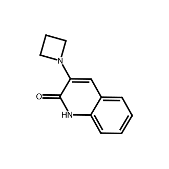 O=c1[nH]c2ccccc2cc1N1CCC1